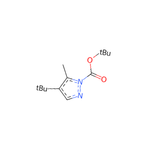 Cc1c(C(C)(C)C)cnn1C(=O)OC(C)(C)C